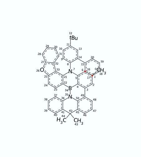 Cc1cc2c3c(c1)N(c1ccc(C(C)(C)C)cc1-c1ccccc1)c1c(ccc4oc5ccccc5c14)B3N1c3ccccc3C(C)(C)c3cccc-2c31